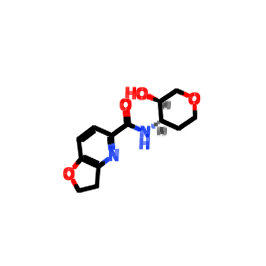 O=C(N[C@H]1CCOC[C@@H]1O)c1ccc2c(n1)CCO2